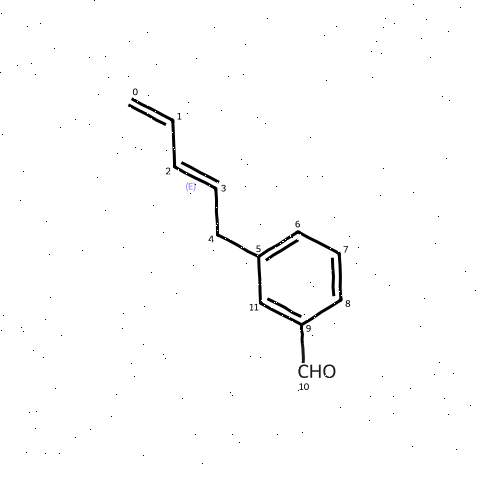 C=C/C=C/Cc1cccc(C=O)c1